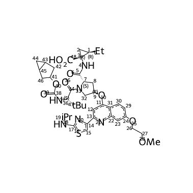 CC[C@@H]1C[C@]1(NC(=O)[C@@H]1C[C@@H](Oc2cc(-c3csc(NC(C)C)n3)nc3cc(OCCOC)ccc23)CN1C(=O)[C@@H](NC(=O)OC1CC2CC2C1)C(C)(C)C)C(=O)O